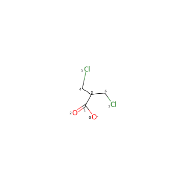 [O]C(=O)C(CCl)CCl